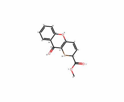 COC(=O)C1C=Cc2oc3ccccc3c(=O)c2S1